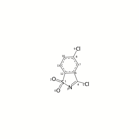 O=S1(=O)N=C(Cl)c2cc(Cl)ccc21